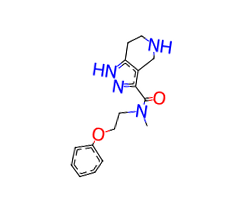 CN(CCOc1ccccc1)C(=O)c1n[nH]c2c1CNCC2